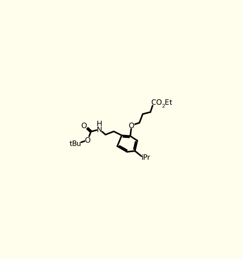 CCOC(=O)CCCOc1cc(C(C)C)ccc1CCNC(=O)OC(C)(C)C